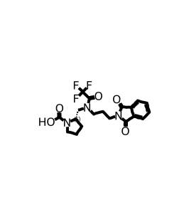 O=C1c2ccccc2C(=O)N1CCCN(C[C@@H]1CCCN1C(=O)O)C(=O)C(F)(F)F